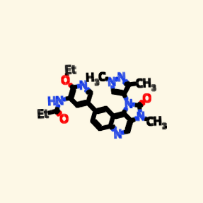 CCOc1ncc(-c2ccc3ncc4c(c3c2)n(-c2cn(C)nc2C)c(=O)n4C)cc1NC(=O)CC